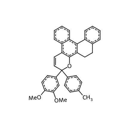 COc1ccc(C2(c3ccc(C)cc3)C=Cc3c(c4c(c5ccccc35)-c3ccccc3CC4)O2)cc1OC